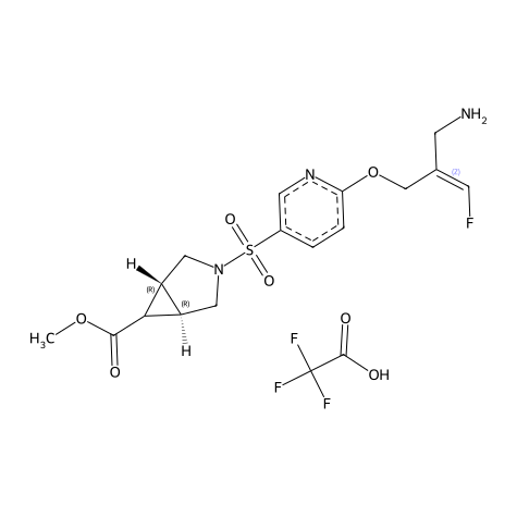 COC(=O)C1[C@@H]2CN(S(=O)(=O)c3ccc(OC/C(=C\F)CN)nc3)C[C@@H]12.O=C(O)C(F)(F)F